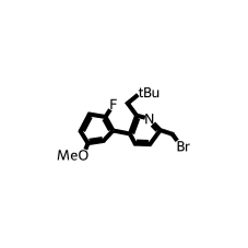 COc1ccc(F)c(-c2ccc(CBr)nc2CC(C)(C)C)c1